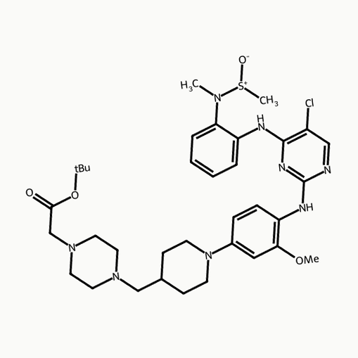 COc1cc(N2CCC(CN3CCN(CC(=O)OC(C)(C)C)CC3)CC2)ccc1Nc1ncc(Cl)c(Nc2ccccc2N(C)[S+](C)[O-])n1